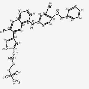 CS(=O)(=O)CCNCc1nc(-c2cc3c(Nc4ccc(OCc5ccccc5)c(Br)c4)ncnc3cc2F)cs1